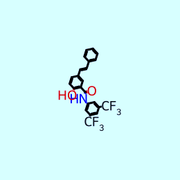 O=C(Nc1cc(C(F)(F)F)cc(C(F)(F)F)c1)c1cc(C=Cc2ccccc2)ccc1O